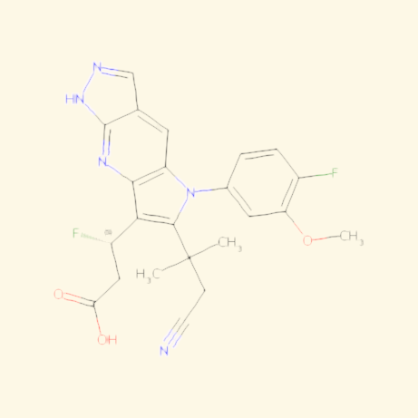 COc1cc(-n2c(C(C)(C)CC#N)c([C@@H](F)CC(=O)O)c3nc4[nH]ncc4cc32)ccc1F